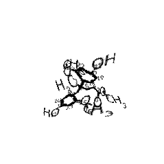 COC(=O)CCC(C)(c1ccc(O)cc1OC)c1ccc(O)cc1OC